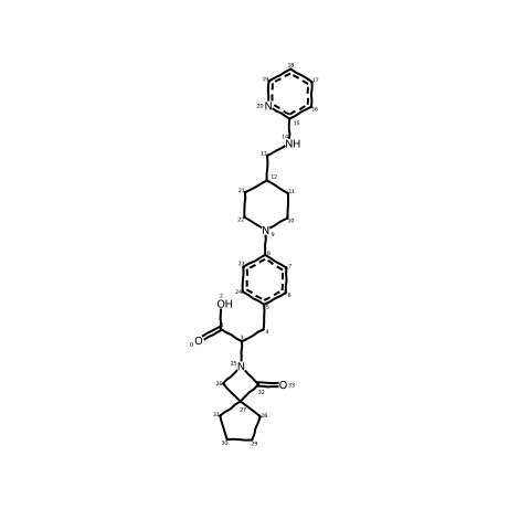 O=C(O)C(Cc1ccc(N2CCC(CNc3ccccn3)CC2)cc1)N1CC2(CCCC2)C1=O